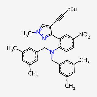 Cc1cc(C)cc(CN(Cc2cc(C)cc(C)c2)c2ccc([N+](=O)[O-])cc2-c2nn(C)cc2C#CC(C)(C)C)c1